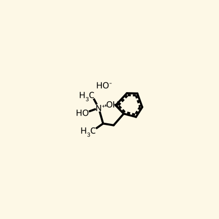 CC(Cc1ccccc1)[N+](C)(O)O.[OH-]